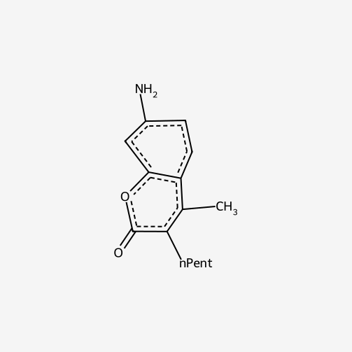 CCCCCc1c(C)c2ccc(N)cc2oc1=O